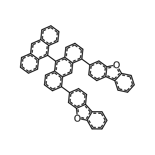 c1ccc2c(-c3c4cccc(-c5ccc6c(c5)oc5ccccc56)c4cc4c(-c5ccc6c(c5)oc5ccccc56)cccc34)c3ccccc3cc2c1